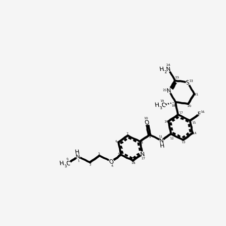 CNCCOc1ccc(C(=O)Nc2ccc(F)c([C@]3(C)CCSC(N)=N3)c2)nc1